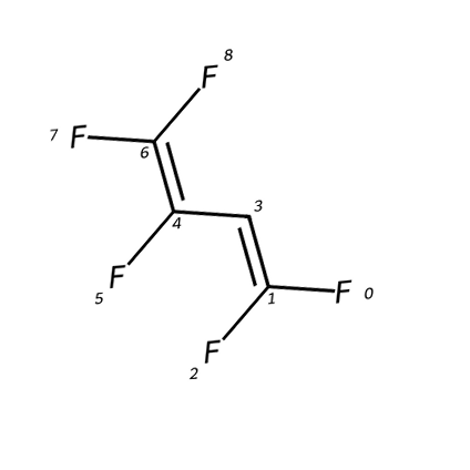 FC(F)=CC(F)=C(F)F